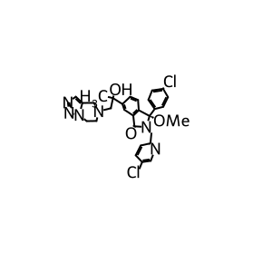 CO[C@]1(c2ccc(Cl)cc2)c2ccc(C(C)(O)CN3CCn4nncc4C3)cc2C(=O)N1Cc1ccc(Cl)cn1